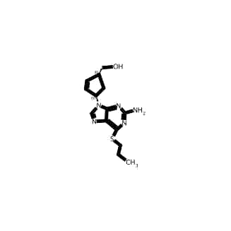 CCCSc1nc(N)nc2c1ncn2[C@@H]1C=C[C@H](CO)C1